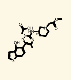 CC(=O)O.COC(=O)CN1CCC[C@@H](Nc2nnc(-c3ccc4sccc4c3O)c(C)n2)C1